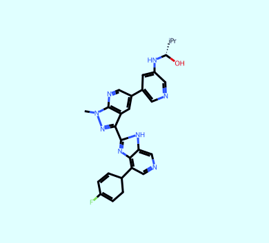 CC(C)[C@H](O)Nc1cncc(-c2cnc3c(c2)c(-c2nc4c(C5C=CC(F)=CC5)cncc4[nH]2)nn3C)c1